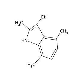 CCc1c(C)[nH]c2c(C)ccc(C)c12